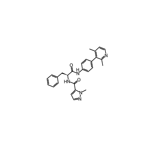 Cc1ccnc(C)c1-c1ccc(NC(=O)[C@H](Cc2ccccc2)NC(=O)c2ccnn2C)cc1